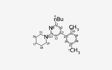 CCCCc1cc(-c2cc(C)ccc2C)cc(N2CCCCC2)n1